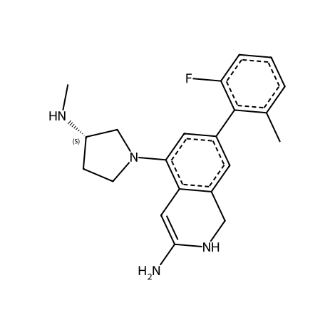 CN[C@H]1CCN(c2cc(-c3c(C)cccc3F)cc3c2C=C(N)NC3)C1